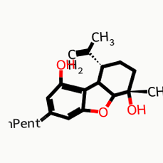 C=C(C)[C@@H]1CC[C@](C)(O)C2Oc3cc(CCCCC)cc(O)c3C21